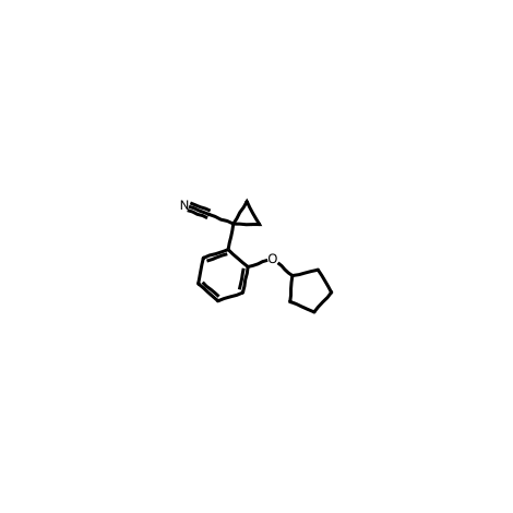 N#CC1(c2ccccc2OC2CCCC2)CC1